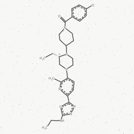 CCNc1nnc(-c2ccc(N3CCN(C4CCN(C(=O)c5ccc(Cl)cc5)CC4)[C@@H](CC)C3)c(C)n2)o1